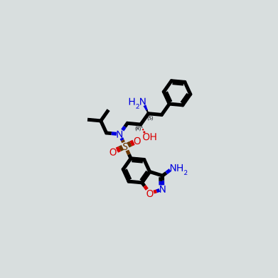 CC(C)CN(C[C@@H](O)[C@@H](N)Cc1ccccc1)S(=O)(=O)c1ccc2onc(N)c2c1